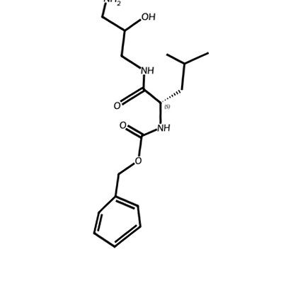 CC(C)C[C@H](NC(=O)OCc1ccccc1)C(=O)NCC(O)CN